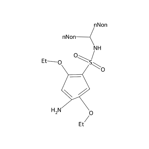 CCCCCCCCCC(CCCCCCCCC)NS(=O)(=O)c1cc(OCC)c(N)cc1OCC